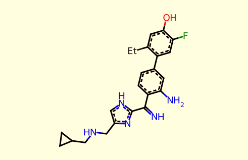 CCc1cc(O)c(F)cc1-c1ccc(C(=N)c2nc(CNCC3CC3)c[nH]2)c(N)c1